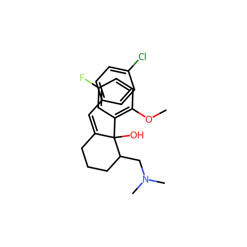 COc1ccc(F)cc1C1(O)/C(=C\c2ccc(Cl)cc2)CCCC1CN(C)C